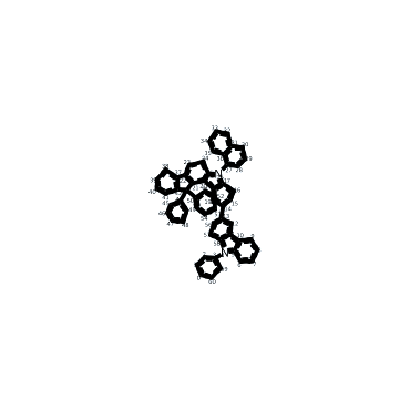 c1ccc(-n2c3ccccc3c3cc(-c4ccc5c(c4)c4c6c(ccc4n5-c4cccc5ccccc45)-c4ccccc4C6(c4ccccc4)c4ccccc4)ccc32)cc1